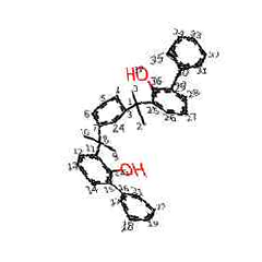 CC(C)(c1cccc(C(C)(C)c2cccc(-c3ccccc3)c2O)c1)c1cccc(-c2ccccc2)c1O